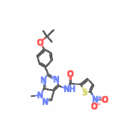 Cn1ncc2c(NC(=O)c3ccc([N+](=O)[O-])s3)nc(-c3ccc(OC(C)(C)C)cc3)nc21